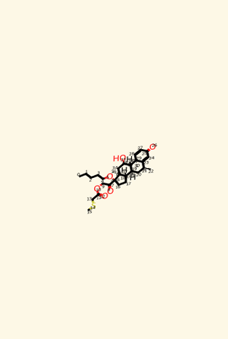 CCCCCO[C@]1(C(=O)COC(=O)CSC)CC[C@H]2[C@@H]3C[C@H](C)C4=CC(=O)C=C[C@]4(C)[C@H]3[C@H](O)C[C@@]21C